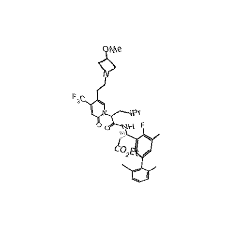 CCOC(=O)C[C@H](NC(=O)C(CC(C)C)n1cc(CCN2CC(OC)C2)c(C(F)(F)F)cc1=O)c1cc(-c2c(C)cccc2C)cc(C)c1F